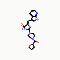 O=C1NC(N2CCN(C(=O)C3CCCO3)CC2)=N/C1=C\c1c[nH]c2ncccc12